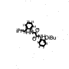 CC(C)COc1ccccc1NC(=O)C(=O)Nc1ccccc1CC(C)C